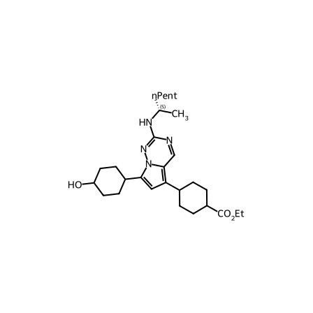 CCCCC[C@H](C)Nc1ncc2c(C3CCC(C(=O)OCC)CC3)cc(C3CCC(O)CC3)n2n1